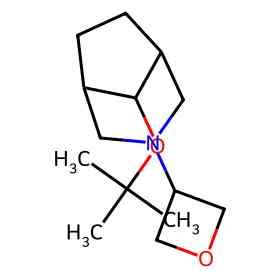 CC(C)(C)OC1C2CCC1CN(C1COC1)C2